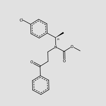 COC(=O)N(CCC(=O)c1ccccc1)[C@H](C)c1ccc(Cl)cc1